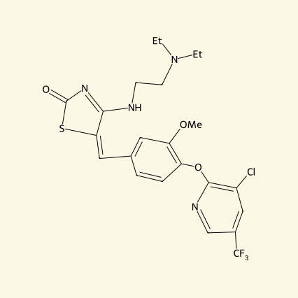 CCN(CC)CCNC1=NC(=O)SC1=Cc1ccc(Oc2ncc(C(F)(F)F)cc2Cl)c(OC)c1